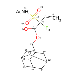 C=CC(F)(C(=O)OCC12CC3CC(CC(C3)C1)C2)S(=O)(=O)NC(C)=O